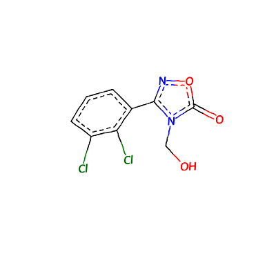 O=c1onc(-c2cccc(Cl)c2Cl)n1CO